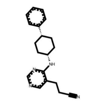 N#CCCc1cncnc1N[C@H]1CC[C@@H](c2ccccc2)CC1